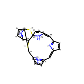 C1=CC2=NC1=Cc1ccc([nH]1)C1SC3C4=NC1(C=C4)SC31C=CC(=C2)N1